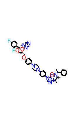 CC(N[C@@H](C)[C@@H](C)n1ncn(-c2ccc(N3CCN(c4ccc(OC[C@@H]5CO[C@@](Cn6cncn6)(c6ccc(F)cc6F)O5)cc4)CC3)cc2)c1=O)c1ccccc1